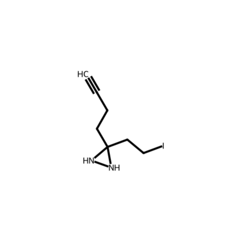 C#CCCC1(CCI)NN1